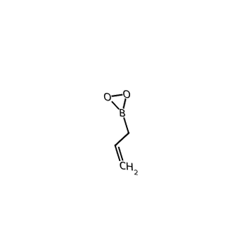 C=CCB1OO1